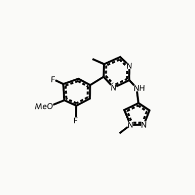 COc1c(F)cc(-c2nc(Nc3cnn(C)c3)ncc2C)cc1F